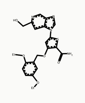 CCOc1ccc(OCC)c(COc2cc(-n3cnc4cnc(CO)cc43)sc2C(N)=O)c1